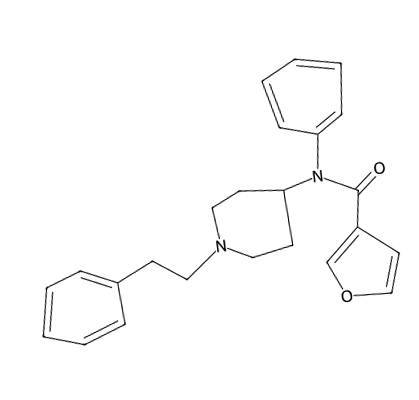 O=C(c1ccoc1)N(c1ccccc1)C1CCN(CCc2ccccc2)CC1